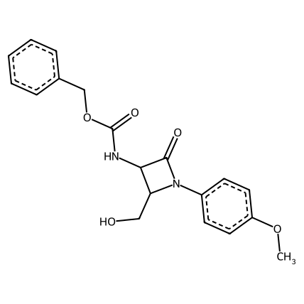 COc1ccc(N2C(=O)C(NC(=O)OCc3ccccc3)C2CO)cc1